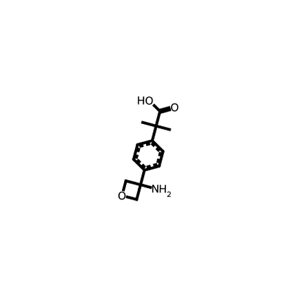 CC(C)(C(=O)O)c1ccc(C2(N)COC2)cc1